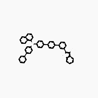 Cc1c(-c2cccc(-c3ccc(-c4ccc(N(c5ccc(-c6ccccc6)cc5)c5cccc6ccccc56)cc4)cc3)c2)oc2ccccc12